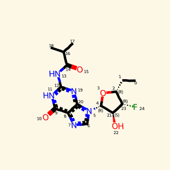 CC[C@H]1O[C@@H](n2cnc3c(=O)[nH]c(NC(=O)C(C)C)nc32)[C@H](O)[C@H]1F